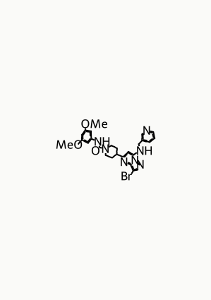 COc1cc(NC(=O)N2CCC(c3cc(NCc4cccnc4)n4ncc(Br)c4n3)CC2)cc(OC)c1